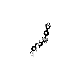 CNc1ccc(Cn2nc(-c3nc(-c4ccc(C5CCOCC5)cc4)no3)cc2C)cn1